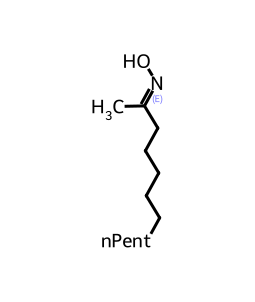 CCCCCCCCCC/C(C)=N/O